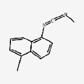 CN=C=Nc1cccc2c(C)cccc12